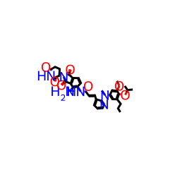 CCCc1cc(N(C)c2ncccc2/C=C/C(=O)Nc2ccc3c(c2N)C(=O)N(C2CCC(=O)NC2=O)C3=O)cc(OC)c1OC(C)C